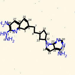 NNc1nc2cc(CCC3CCC(n4ccc5c(N)ncnc54)C3)ccc2cc1N